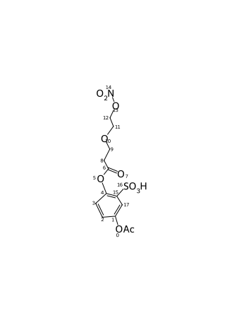 CC(=O)Oc1ccc(OC(=O)CCOCCO[N+](=O)[O-])c(S(=O)(=O)O)c1